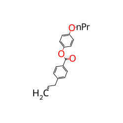 C=CCc1ccc(C(=O)Oc2ccc(OCCC)cc2)cc1